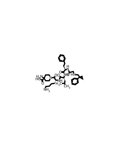 CC(C)C[C@@H](NC(=O)[C@@H](CCc1ccccc1)NC(=O)CNCC1(c2ccccc2)CC1)C(=O)N[C@H](CCCCN)C(=O)N1CCC(N)(C(=O)O)CC1